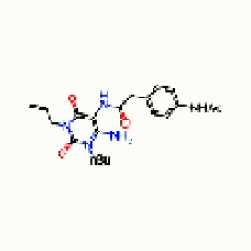 C=CCn1c(=O)c(NC(=O)Cc2ccc(NC(C)=O)cc2)c(N)n(CCCC)c1=O